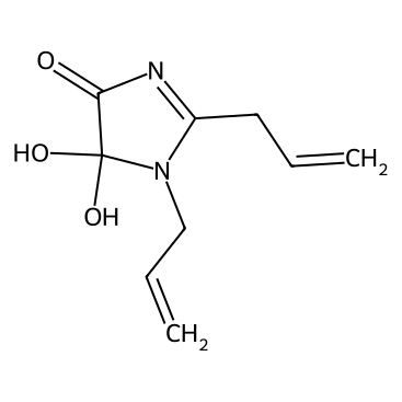 C=CCC1=NC(=O)C(O)(O)N1CC=C